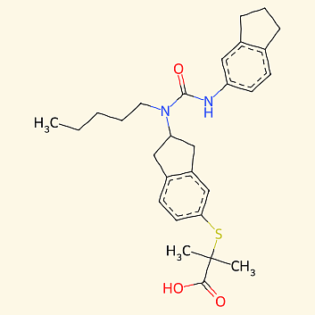 CCCCCN(C(=O)Nc1ccc2c(c1)CCC2)C1Cc2ccc(SC(C)(C)C(=O)O)cc2C1